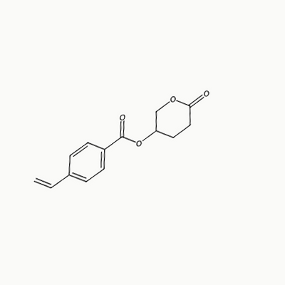 C=Cc1ccc(C(=O)OC2CCC(=O)OC2)cc1